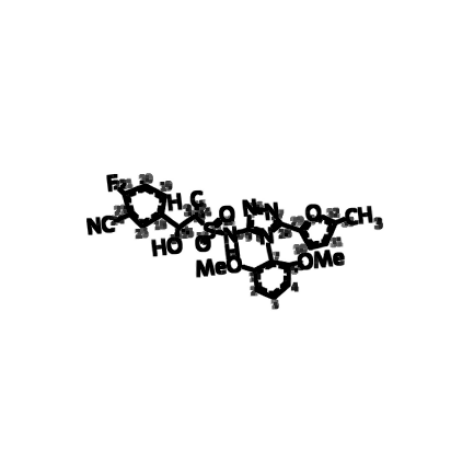 COc1cccc(OC)c1-n1c(NS(=O)(=O)[C@@H](C)[C@@H](O)c2ccc(F)c(C#N)c2)nnc1-c1ccc(C)o1